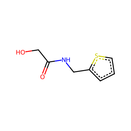 O=C(CO)NCc1cccs1